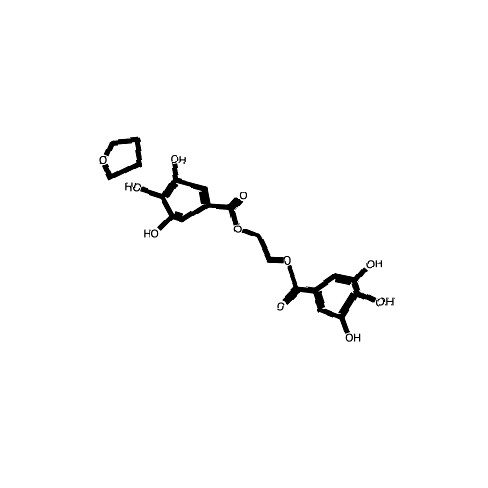 C1CCOC1.O=C(OCCOC(=O)c1cc(O)c(O)c(O)c1)c1cc(O)c(O)c(O)c1